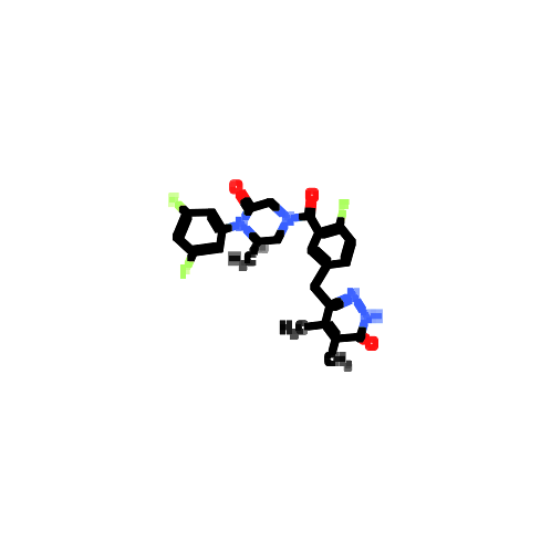 Cc1c(Cc2ccc(F)c(C(=O)N3CC(=O)N(c4cc(F)cc(F)c4)[C@H](C)C3)c2)n[nH]c(=O)c1C